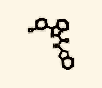 O=C(NC1Cc2ccccc2C1)c1nc(-c2cccc(Cl)c2)c2ccccn12